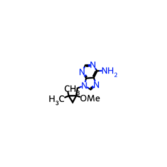 [CH2]OC1(Cn2cnc3c(N)ncnc32)CC1(C)C